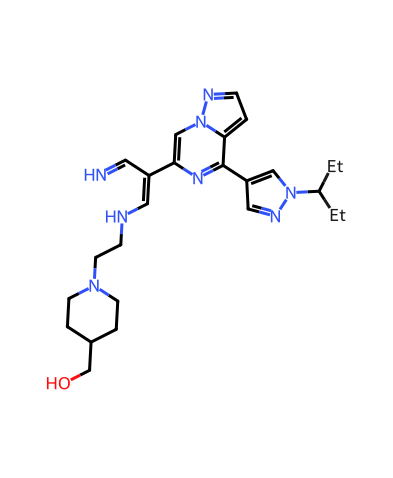 CCC(CC)n1cc(-c2nc(/C(C=N)=C/NCCN3CCC(CO)CC3)cn3nccc23)cn1